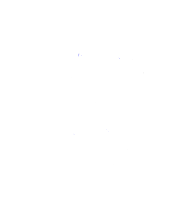 C=C(Nc1cnc(-c2ccc(F)cc2)s1)c1cccc(C2CC2NC2CCN(C(C)=O)CC2)c1